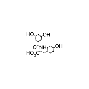 O=C(N[C@@H](Cc1ccc(O)cc1)C(=O)O)c1cc(O)cc(O)c1